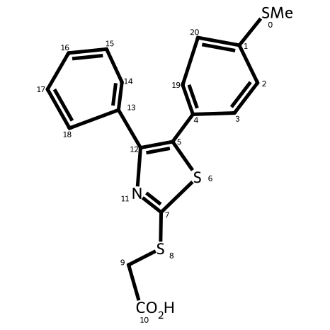 CSc1ccc(-c2sc(SCC(=O)O)nc2-c2ccccc2)cc1